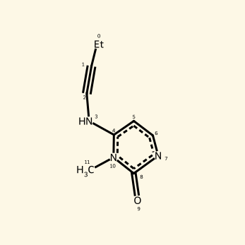 CCC#CNc1ccnc(=O)n1C